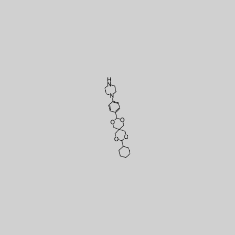 c1cc(N2CCNCC2)ccc1C1OCC2(CO1)COC(C1CCCCC1)OC2